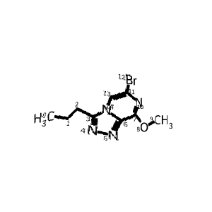 CCCc1nnc2c(OC)nc(Br)cn12